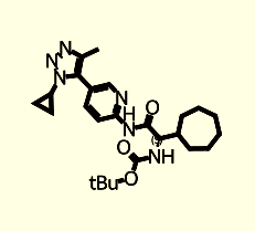 Cc1nnn(C2CC2)c1-c1ccc(NC(=O)[C@@H](NC(=O)OC(C)(C)C)C2CCCCCC2)nc1